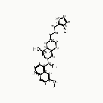 COc1ccc2nccc([C@H](F)CC[C@@H]3CCN(CCCc4sccc4Cl)C[C@@H]3C(=O)O)c2c1